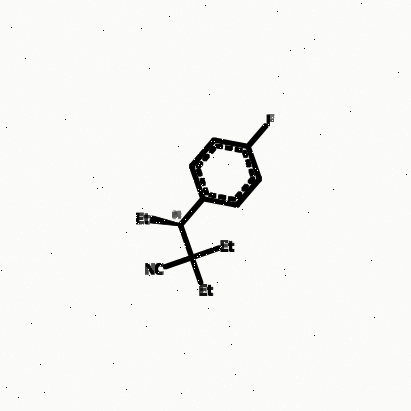 CC[C@@H](c1ccc(F)cc1)C(C#N)(CC)CC